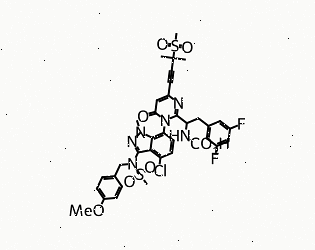 COc1ccc(CN(c2nn(C)c3c(-n4c(C(Cc5cc(F)cc(F)c5)NC(=O)O)nc(C#CC(C)(C)S(C)(=O)=O)cc4=O)ccc(Cl)c23)S(C)(=O)=O)cc1